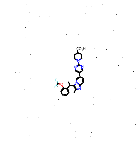 Cc1nc2ccc(-c3cnc(N4CCC(C(=O)O)CC4)nc3)cn2c1C(C)c1ccccc1OC(F)F